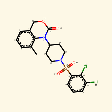 Cc1cccc2c1N(C1CCN(S(=O)(=O)c3cccc(Cl)c3Cl)CC1)C(=O)OC2